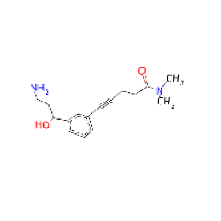 CN(C)C(=O)CCC#Cc1cccc(C(O)CCN)c1